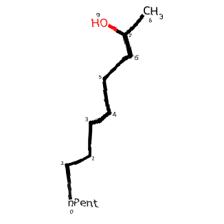 CCCCCCCCCC[CH]C(C)O